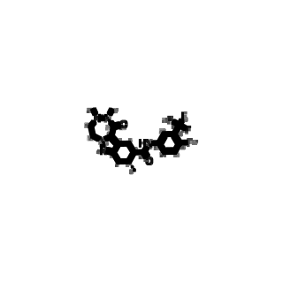 C[C@@H]1Cc2nn3c(c2CC1C(=O)Nc1ccc(F)c(C(F)(F)F)c1)C(=O)N(C)N(C)CC3